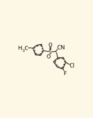 Cc1ccc(S(=O)(=O)C(C#N)c2ccc(F)c(Cl)c2)cc1